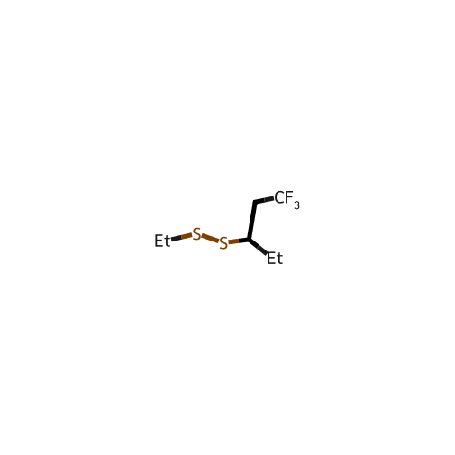 CCSSC(CC)CC(F)(F)F